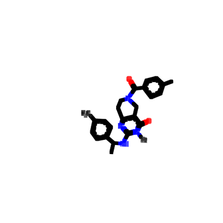 CCn1c(NC(C)c2ccc(C(F)(F)F)cc2)nc2c(c1=O)CN(C(=O)c1ccc(C)cc1)CC2